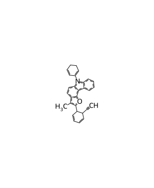 C#CC1C=CC=CC1c1oc2c(ccc3c2c2ccccc2n3C2=CCCC=C2)c1C